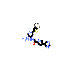 NC1CNC(c2cc(C(F)(F)F)cs2)CC1NCC(O)c1ccc(-c2cncnc2)cn1